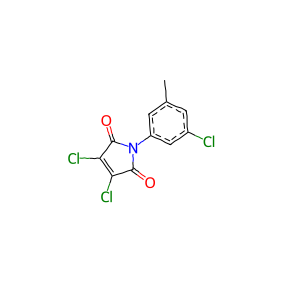 Cc1cc(Cl)cc(N2C(=O)C(Cl)=C(Cl)C2=O)c1